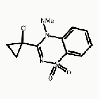 CNN1C(C2(Cl)CC2)=NS(=O)(=O)c2ccccc21